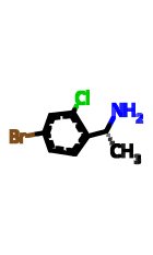 C[C@@H](N)c1ccc(Br)cc1Cl